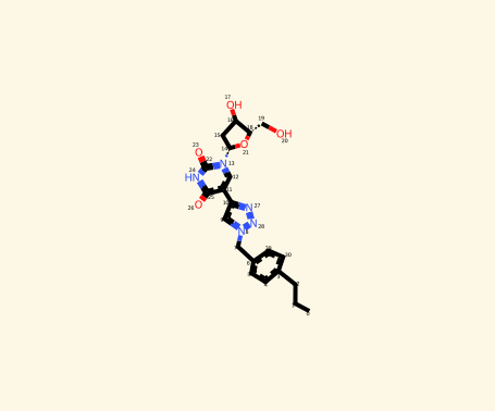 CCCc1ccc(Cn2cc(-c3cn([C@@H]4CC(O)[C@H](CO)O4)c(=O)[nH]c3=O)nn2)cc1